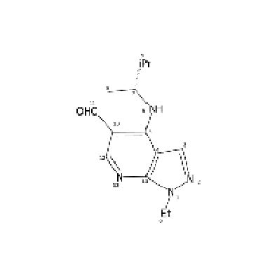 CCn1ncc2c(N[C@H](C)C(C)C)c(C=O)cnc21